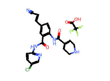 N#CC=Cc1ccc(NC(=O)C2CCNCC2)c(C(=O)Nc2ccc(Cl)cn2)c1.O=C(O)C(F)(F)F